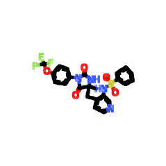 CC1(Cc2ccncc2NS(=O)(=O)c2ccccc2)NC(=O)N(c2ccc(OC(F)(F)F)cc2)C1=O